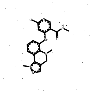 CNC(=O)c1cnc(Cl)cc1Nc1cccc2c1N(C)Cc1cnn(C)c1-2